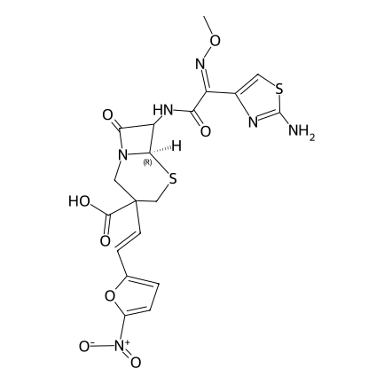 CON=C(C(=O)NC1C(=O)N2CC(C=Cc3ccc([N+](=O)[O-])o3)(C(=O)O)CS[C@H]12)c1csc(N)n1